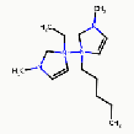 CCCCC[N+]1([N+]2(CC)C=CN(C)C2)C=CN(C)C1